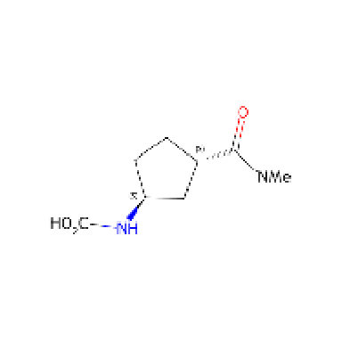 CNC(=O)[C@H]1CC[C@H](NC(=O)O)C1